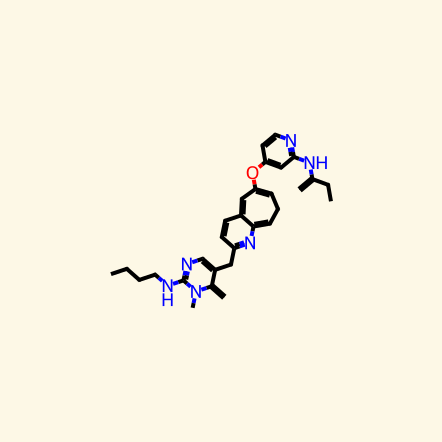 C=C(CC)Nc1cc(OC2=CCC=c3nc(CC4=CN=C(NCCCC)N(C)C4=C)ccc3=C2)ccn1